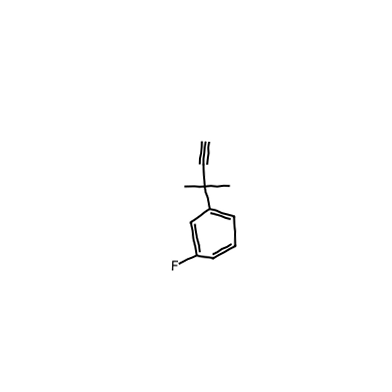 C#CC(C)(C)c1cccc(F)c1